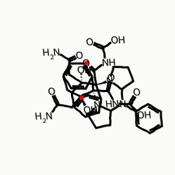 NC(=O)C[C@]1(O)Cc2ccc(cc2)[C@]1(C(=O)NC(=O)O)N1CCCC1N(c1ccccc1)C1CCCN1[C@@]1(C(=O)NC(=O)O)c2ccc(cc2)C[C@@]1(O)CC(N)=O